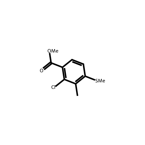 COC(=O)c1ccc(SC)c(C)c1Cl